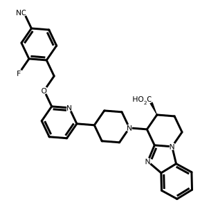 N#Cc1ccc(COc2cccc(C3CCN(C4c5nc6ccccc6n5CC[C@@H]4C(=O)O)CC3)n2)c(F)c1